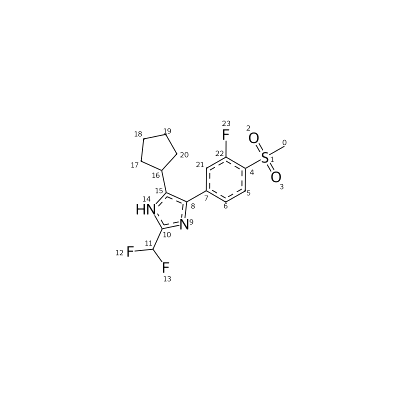 CS(=O)(=O)c1ccc(-c2nc(C(F)F)[nH]c2C2CCCC2)cc1F